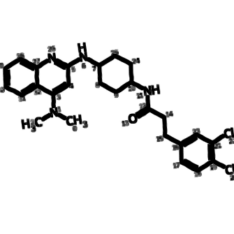 CN(C)c1cc(NC2CCC(NC(=O)CCc3ccc(Cl)c(Cl)c3)CC2)nc2ccccc12